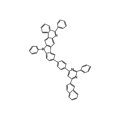 c1ccc(-c2nc(-c3ccc(-c4ccc5c(c4)c4cc6nc(-c7ccccc7)c7ccccc7c6cc4n5-c4ccccc4)cc3)cc(-c3ccc4ccccc4c3)n2)cc1